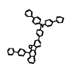 c1ccc(-c2ccc(-c3c4ccccc4cc4c3oc3cc(-c5ccc(N(c6ccc(-c7ccccc7)cc6)c6ccc(-c7ccccc7)cc6)cc5)ccc34)cc2)cc1